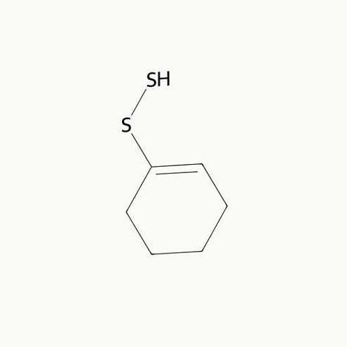 SSC1=CCCCC1